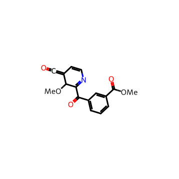 COC(=O)c1cccc(C(=O)C2=NC=CC(=C=O)C2OC)c1